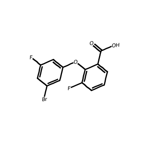 O=C(O)c1cccc(F)c1Oc1cc(F)cc(Br)c1